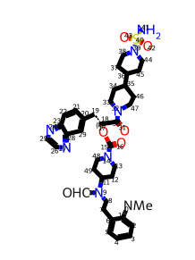 CNc1ccccc1CCN(C=O)C1CCN(C(=O)O[C@H](Cc2ccc3nccnc3c2)C(=O)N2CCC(C3CCN(S(N)(=O)=O)CC3)CC2)CC1